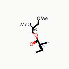 [CH2]/C(=C/C)C(=O)OC[C@H](COC)OC